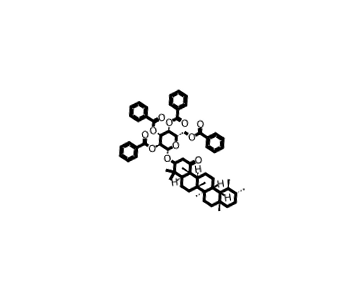 C[C@@H]1[C@H]2[C@H]3CC[C@@H]4[C@@]5(C)C(=O)CC(O[C@H]6O[C@@H](COC(=O)c7ccccc7)[C@@H](OC(=O)c7ccccc7)[C@@H](OC(=O)c7ccccc7)[C@@H]6OC(=O)c6ccccc6)C(C)(C)[C@@H]5CC[C@@]4(C)[C@]3(C)CC[C@@]2(C)CC[C@H]1C